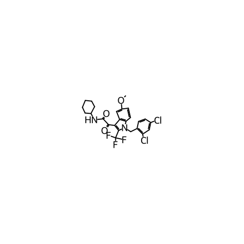 COc1ccc2c(c1)c(C(=O)C(=O)NC1CCCCC1)c(C(F)(F)F)n2Cc1ccc(Cl)cc1Cl